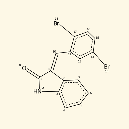 O=C1Nc2ccccc2/C1=C\c1cc(Br)ccc1Br